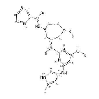 CCC1CCC(N[S+]([O-])c2ccccn2)CC(N(C)c2nc(Nc3cc(C)[nH]n3)cc(OC)n2)C1